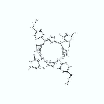 Cc1cc(C)c(-c2c3nc(c(-c4ccc(N=C=S)cc4)c4ccc([nH]4)c(-c4c(C)cc(C)cc4C)c4nc(c(-c5ccc(N=C=S)cc5)c5ccc2[nH]5)C=C4)C=C3)c(C)c1